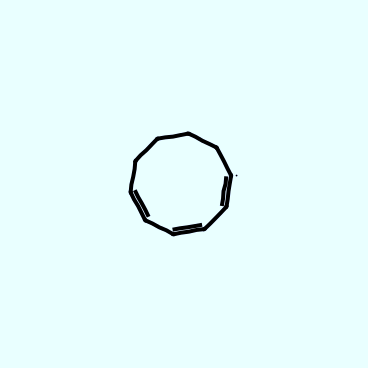 [C]1=CC=CC=CCCCC1